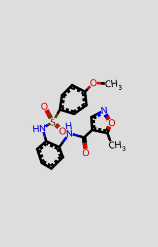 COc1ccc(S(=O)(=O)Nc2ccccc2NC(=O)c2cnoc2C)cc1